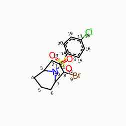 O=C1CC2CCCC(C1Br)N2S(=O)(=O)c1ccc(Cl)cc1